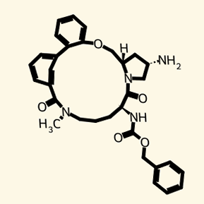 CN1CCC[C@H](NC(=O)OCc2ccccc2)C(=O)N2C[C@@H](N)C[C@H]2COc2ccccc2-c2cccc(c2)C1=O